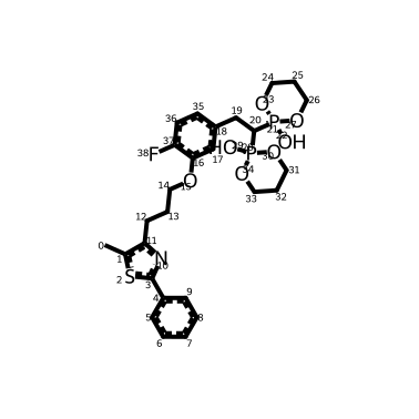 Cc1sc(-c2ccccc2)nc1CCCOc1cc(CC([P]2(O)OCCCO2)[P]2(O)OCCCO2)ccc1F